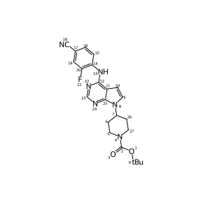 CC(C)(C)OC(=O)N1CCC(n2ccc3c(Nc4ccc(C#N)cc4F)ncnc32)CC1